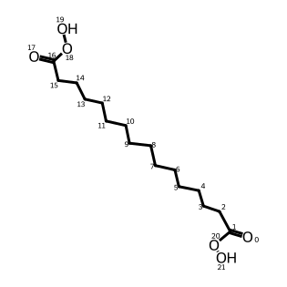 O=C(CCCCCCCCCCCCCCC(=O)OO)OO